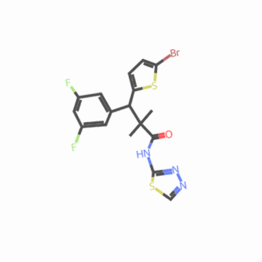 CC(C)(C(=O)Nc1nncs1)C(c1cc(F)cc(F)c1)c1ccc(Br)s1